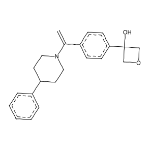 C=C(c1ccc(C2(O)COC2)cc1)N1CCC(c2ccccc2)CC1